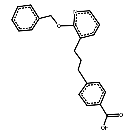 O=C(O)c1ccc(CCCc2cccnc2OCc2ccccc2)cc1